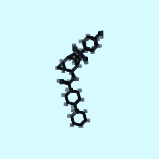 O=C(O[C@H]1C2CC2C2CCC1N2S(=O)(=O)c1ccc(Cl)cc1)N1CCC(N2CCCCC2)CC1